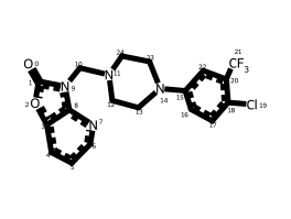 O=c1oc2cccnc2n1CN1CCN(c2ccc(Cl)c(C(F)(F)F)c2)CC1